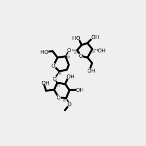 CO[C@H]1OC(CO)[C@@H](O[C@@H]2CC[C@H](O[C@H]3OC(CO)[C@@H](O)C(O)C3O)C(CO)O2)C(O)C1O